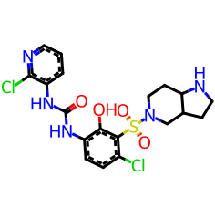 O=C(Nc1cccnc1Cl)Nc1ccc(Cl)c(S(=O)(=O)N2CCC3NCCC3C2)c1O